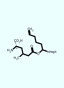 C=CCCCC(CCCCCCC)OC(=O)CC(C)C[C@H](N)C(=O)O